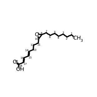 CCCCCCCCC1OC1CCCC=CC=CC(=O)O